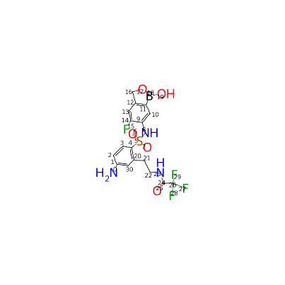 Nc1ccc(S(=O)(=O)Nc2cc3c(cc2F)COB3O)c(CCNC(=O)C(F)(F)F)c1